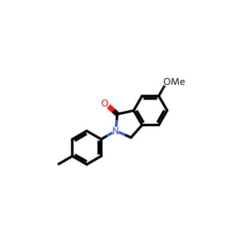 COc1ccc2c(c1)C(=O)N(c1ccc(C)cc1)C2